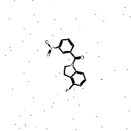 O=C(c1cccc([N+](=O)[O-])c1)N1CCc2c(Br)cccc21